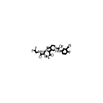 CN1OC(C(=O)NCC(F)F)Cn2nc3c(c2C1=O)CN(C(=O)Nc1ccc(F)c(C#N)c1F)CC3